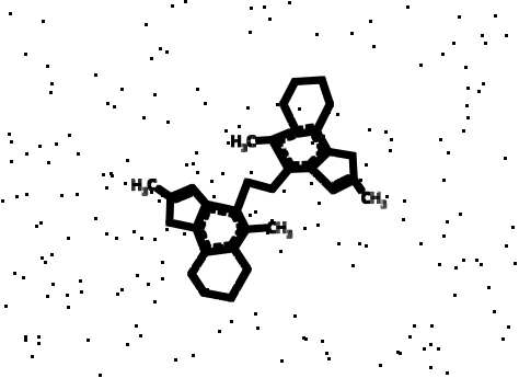 CC1=Cc2c(CCc3c(C)c4c(c5c3C=C(C)C5)CCCC4)c(C)c3c(c2C1)CCCC3